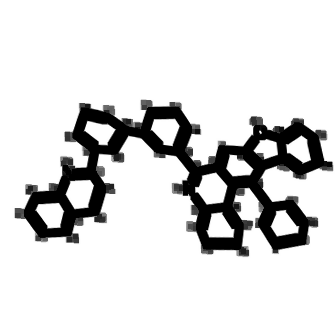 c1ccc(-c2c3c(cc4c(-c5cccc(-c6cccc(-c7ccc8ccccc8n7)c6)c5)nc5ccccc5c24)oc2ccccc23)cc1